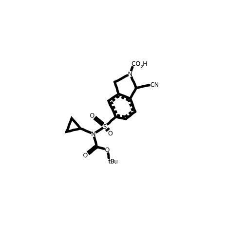 CC(C)(C)OC(=O)N(C1CC1)S(=O)(=O)c1ccc2c(c1)CN(C(=O)O)C2C#N